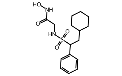 O=C(CNS(=O)(=O)C(CC1CCCCC1)c1ccccc1)NO